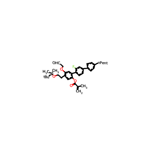 C=C(C)C(=O)Oc1cc(CCO[Si](C)(C)C(C)(C)C)c(OCC=O)cc1-c1ccc(-c2ccc(CCCCC)cc2)cc1F